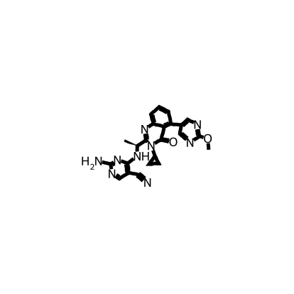 COc1ncc(-c2cccc3nc([C@H](C)Nc4nc(N)ncc4C#N)n(C4CC4)c(=O)c23)cn1